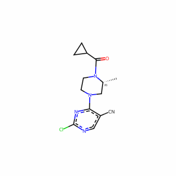 C[C@@H]1CN(c2nc(Cl)ncc2C#N)CCN1C(=O)C1CC1